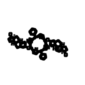 C[C@]12CC[C@@H]3c4ccc(Oc5c6nc(c(-c7ccccc7)c7ccc([nH]7)c(Oc7ccc8c(c7)CC[C@@H]7[C@@H]8CC[C@]8(C)C(=O)CC[C@@H]78)c7nc(c(-c8ccccc8)c8ccc5[nH]8)C=C7)C=C6)cc4CC[C@H]3[C@@H]1CCC2=O